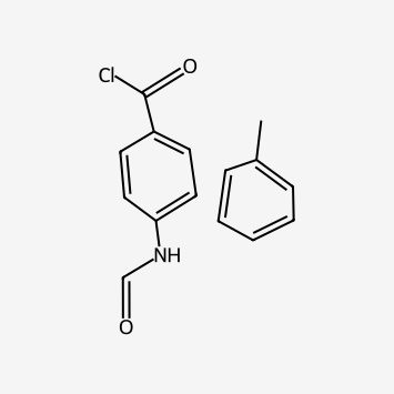 Cc1ccccc1.O=CNc1ccc(C(=O)Cl)cc1